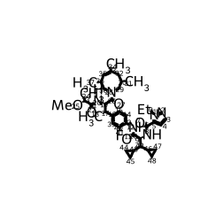 CCn1nccc1C(=O)N[C@H](C(=O)Nc1ccc([C@H](C)[C@@H](NC(=O)[C@H](C)OC)C(=O)N2C[C@H](C)C/C(C)=C\[C@H](C)C2)cc1F)C(C1CC1)C1CC1